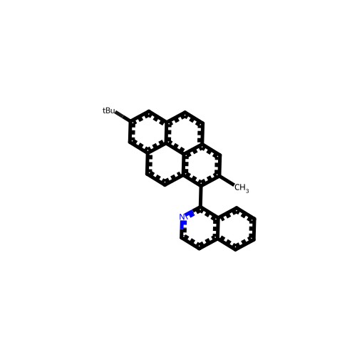 Cc1cc2ccc3cc(C(C)(C)C)cc4ccc(c1-c1nccc5ccccc15)c2c34